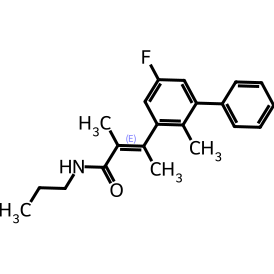 CCCNC(=O)/C(C)=C(\C)c1cc(F)cc(-c2ccccc2)c1C